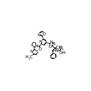 Cc1csc([C@H]2CCCN2C(=O)c2cc(-c3nnc([C@@](C)(Cc4ccccc4)NC(=O)O)o3)cc(-c3ncco3)n2)n1